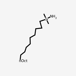 CCCCCCCCCCCCCCCCC[Si](C)(C)N